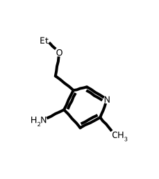 CCOCc1cnc(C)cc1N